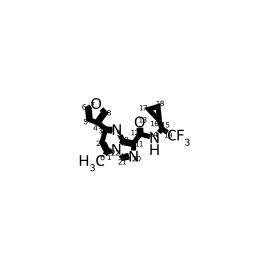 Cc1cc(-c2ccoc2)nc2c(C(=O)NC(C3CC3)C(F)(F)F)ncn12